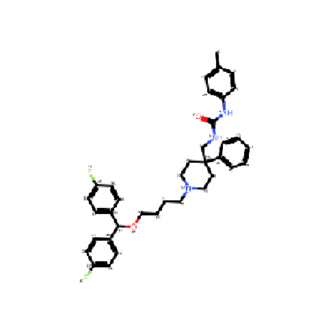 Cc1ccc(NC(=O)NCC2(c3ccccc3)CCN(CCCCOC(c3ccc(F)cc3)c3ccc(F)cc3)CC2)cc1